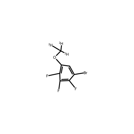 [2H]C([2H])([2H])Oc1cc(Br)c(F)c(F)c1F